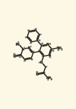 CC(C)n1nc(-c2c(OCC(N)=O)nc(N)nc2-c2ccccc2)ccc1=O